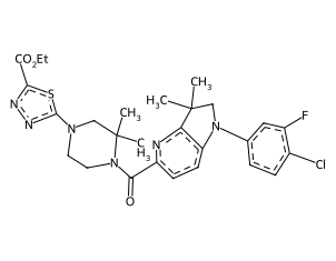 CCOC(=O)c1nnc(N2CCN(C(=O)c3ccc4c(n3)C(C)(C)CN4c3ccc(Cl)c(F)c3)C(C)(C)C2)s1